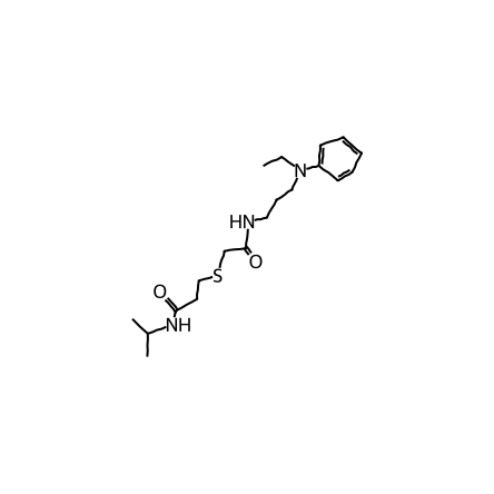 CCN(CCCNC(=O)CSCCC(=O)NC(C)C)c1ccccc1